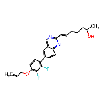 C=CCOc1ccc(-c2ccc3nc(C=CCCCC(C)O)ncc3c2)c(F)c1F